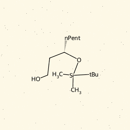 CCCCC[C@@H](CCO)O[Si](C)(C)C(C)(C)C